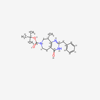 CC1CN(C(=O)OC(C)(C)C)CCc2c1nc(Cc1ccccc1)[nH]c2=O